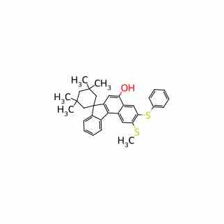 CSc1cc2c3c(cc(O)c2cc1Sc1ccccc1)C1(CC(C)(C)CC(C)(C)C1)c1ccccc1-3